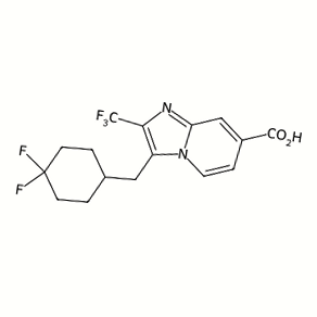 O=C(O)c1ccn2c(CC3CCC(F)(F)CC3)c(C(F)(F)F)nc2c1